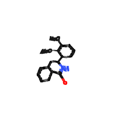 COc1cccc(-c2cc3ccccc3c(=O)[nH]2)c1OC